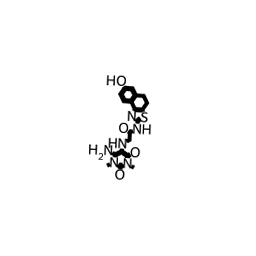 Cn1c(N)c(NCC(=O)Nc2nc3c(s2)CCc2cc(O)ccc2-3)c(=O)n(C)c1=O